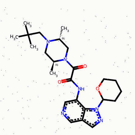 C[C@@H]1CN(C(=O)C(=O)Nc2cncc3cnn(C4CCCCO4)c23)[C@@H](C)CN1CC(C)(C)C